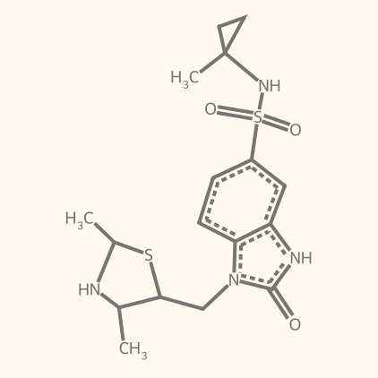 CC1NC(C)C(Cn2c(=O)[nH]c3cc(S(=O)(=O)NC4(C)CC4)ccc32)S1